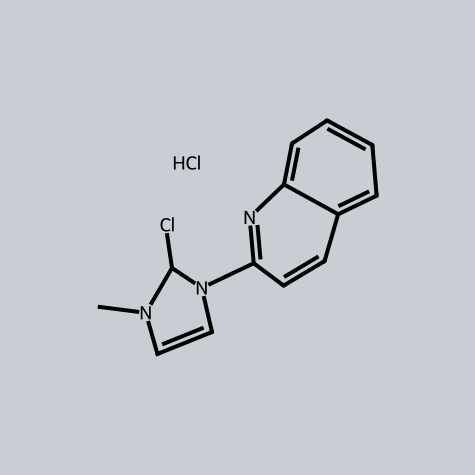 CN1C=CN(c2ccc3ccccc3n2)C1Cl.Cl